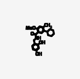 COc1cc(C)c(C2CCCCC2)cc1C(=O)NCc1ccc(O)cc1O